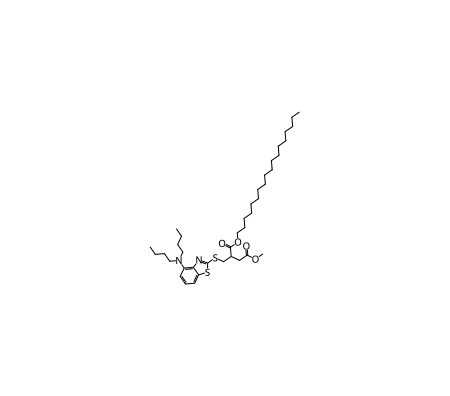 CCCCCCCCCCCCCCCCCCOC(=O)C(CSc1nc2c(N(CCCC)CCCC)cccc2s1)CC(=O)OC